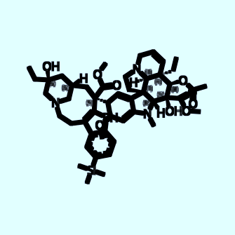 CC[C@]1(O)C[C@H]2CN(CCC3=C(Bc4ccc([Si](C)(C)C)cc43)[C@@](C(=O)OC)(C3C=C4C(=CC3OC)N(C)[C@H]3[C@@](O)(C(=O)OC)[C@H](OC(C)=O)[C@]5(CC)C=CCN6CC[C@]43[C@@H]65)C2)C1